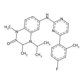 Cc1cc(F)ccc1-c1ccnc(Nc2ccc3c(c2)N(C(C)C)C(C)C(=O)N3C)n1